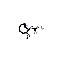 COC1CCCC/C=C/C1OC(N)=O